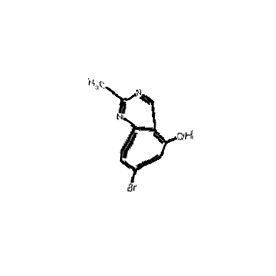 Cc1ncc2c(O)cc(Br)cc2n1